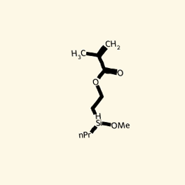 C=C(C)C(=O)OCC[SiH](CCC)OC